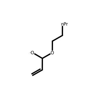 C=CC([O])OCCCCC